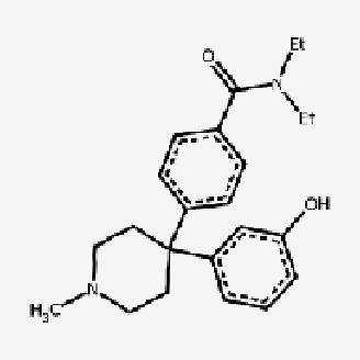 CCN(CC)C(=O)c1ccc(C2(c3cccc(O)c3)CCN(C)CC2)cc1